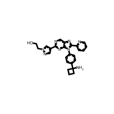 NC1(c2ccc(-n3c(-c4ccccn4)nc4cnc(-c5cnn(CCO)c5)nc43)cc2)CCC1